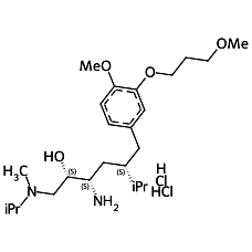 COCCCOc1cc(C[C@@H](C[C@H](N)[C@@H](O)CN(C)C(C)C)C(C)C)ccc1OC.Cl.Cl